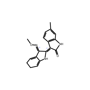 CO/N=C1\C2=CCCC=C2N\C1=C1/C(=O)Nc2cc(C)ccc21